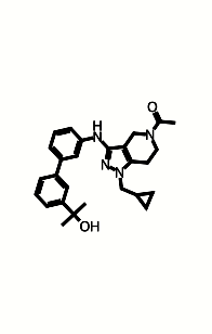 CC(=O)N1CCc2c(c(Nc3cccc(-c4cccc(C(C)(C)O)c4)c3)nn2CC2CC2)C1